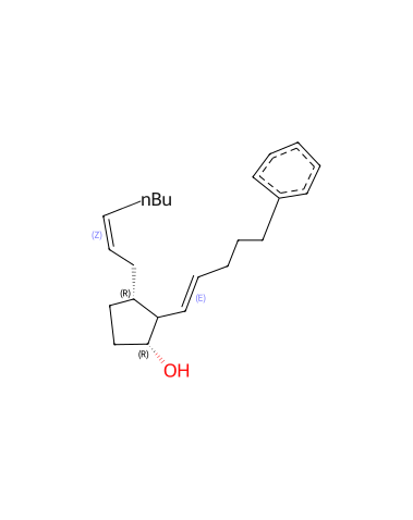 CCCC/C=C\C[C@H]1CC[C@@H](O)C1/C=C/CCCc1ccccc1